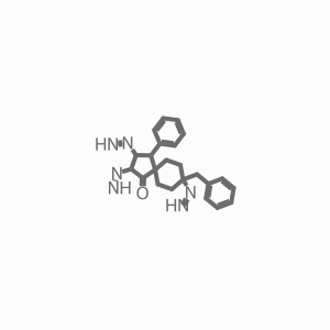 N=NC1C(=O)C2(CCC(Cc3ccccc3)(N=N)CC2)C(c2ccccc2)C1N=N